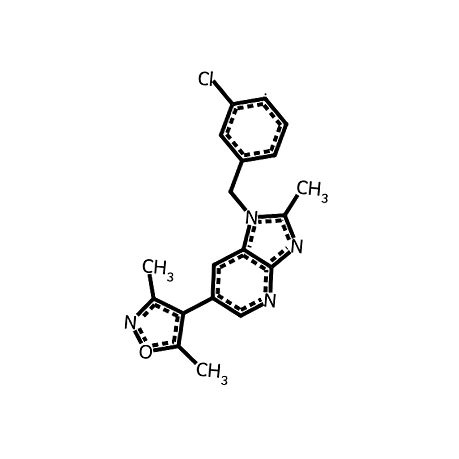 Cc1noc(C)c1-c1cnc2nc(C)n(Cc3cc[c]c(Cl)c3)c2c1